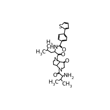 CC(C)CC(NC(=O)c1ccc(-c2cccs2)cc1)C(=O)N1CCC2C1C(=O)CN2C(=O)C(N)C(C)C